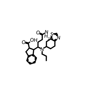 CCCN(C1CCc2ncsc2C1)C(CCC(N)=O)C1c2ccccc2CC1C(=O)O